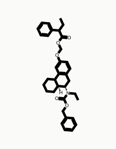 CCC(C(=O)OCOc1ccc2c(c1)C1CCCC[C@@H]1[C@@H](N(CC)C(=O)OCc1ccccc1)C2)c1ccccc1